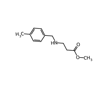 COC(=O)CCNCc1ccc(C)cc1